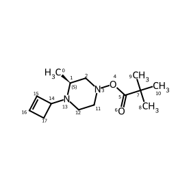 C[C@H]1CN(OC(=O)C(C)(C)C)CCN1C1C=CC1